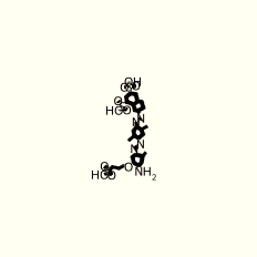 Cc1cc(N=Nc2cc(OCCCS(=O)(=O)O)c(N)cc2C)c(C)cc1N=Nc1ccc2cc(S(=O)(=O)O)cc(S(=O)(=O)O)c2c1